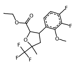 CCOC(=O)C1OC(C)(C(F)(F)F)CC1c1ccc(F)c(F)c1OC